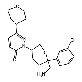 NCC1(c2cccc(Cl)c2)CCC(n2nc(N3CCOCC3)ccc2=O)CC1